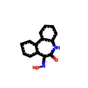 O=c1[nH]c2ccccc2c2ccccc2/c1=N\O